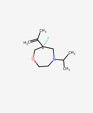 C=C(C)[C@]1(F)COCCN(C(C)C)C1